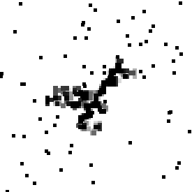 CCC(O)CNCCNC(=O)C(CCS(=O)(=O)O)N(CC(=O)O)CC(=O)O